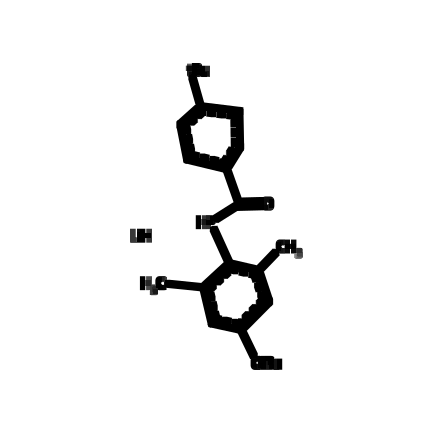 Cc1cc(OCC(C)C)cc(C)c1PC(=O)c1ccc(C(C)(C)C)cc1.[LiH]